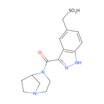 O=C(c1n[nH]c2ccc(CS(=O)(=O)O)cc12)N1CCN2CCC1C2